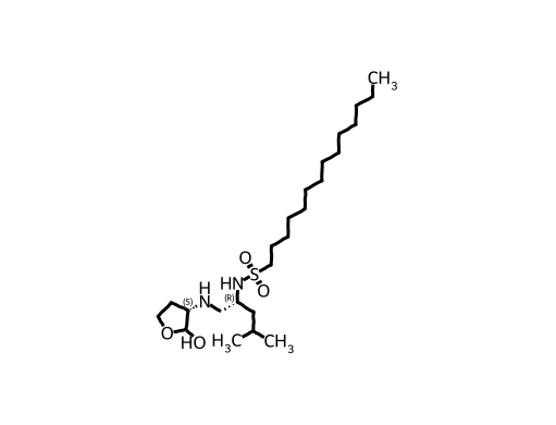 CCCCCCCCCCCCCCS(=O)(=O)N[C@@H](CN[C@H]1CCOC1O)CC(C)C